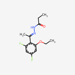 CCOc1cc(F)cc(F)c1/C(C)=N/NC(=O)CC